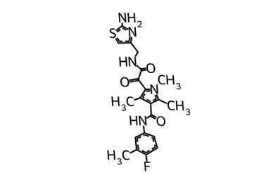 Cc1cc(NC(=O)c2c(C)c(C(=O)C(=O)NCc3csc(N)n3)n(C)c2C)ccc1F